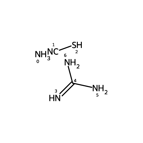 N.N#CS.N=C(N)N